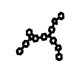 C1=c2c(n(-c3ccc(-c4ccccc4)cc3)c3ccc(-c4ccc(N(c5ccc(-c6ccc(-c7ccccc7)s6)cc5)c5ccc(-c6ccc(-c7ccccc7)s6)cc5)cc4)cc23)=CCC1